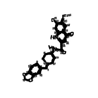 O=C(NC1CCN(Cc2ccc3c(c2)OCO3)CC1)c1cc(=O)c2cc(F)c(Cl)cc2[nH]1